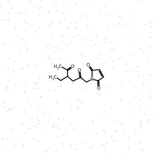 CCC(CC(=O)CN1C(=O)C=CC1=O)C(C)=O